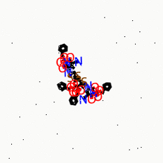 CC1=C(C#N)C(=O)N(C(=O)OCc2ccccc2)C(=O)/C1=N/c1cc2c(s1)-c1sc3cc(/N=C4/C(=O)N(C(=O)OCc5ccccc5)C(=O)C(C#N)=C4C)sc3c1OC2(C(=O)OCc1ccccc1)C(=O)OCc1ccccc1